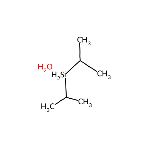 CC(C)[SiH2]C(C)C.O